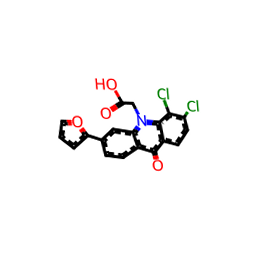 O=C(O)Cn1c2cc(-c3ccco3)ccc2c(=O)c2ccc(Cl)c(Cl)c21